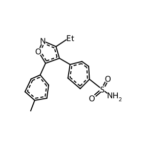 CCc1noc(-c2ccc(C)cc2)c1-c1ccc(S(N)(=O)=O)cc1